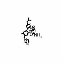 Cc1cc(-c2cc(CC(C)C)sc2S(=O)(=O)OC(N)=O)ccc1Cn1ccnc1